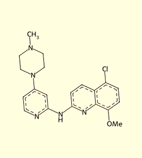 COc1ccc(Cl)c2ccc(Nc3cc(N4CCN(C)CC4)ccn3)nc12